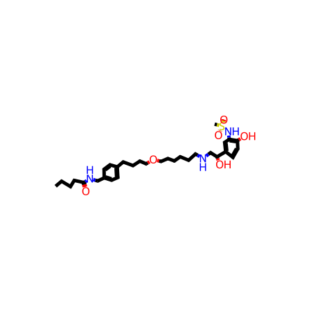 CCCCC(=O)NCc1ccc(CCCCOCCCCCCNCC(O)c2ccc(O)c(NS(C)(=O)=O)c2)cc1